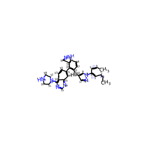 C\C=C/C=C(\C=C/C)n1cc(Bc2ccc3[nH]ncc3c2-c2ccc3c(N4CCNCC4)ncnc3c2)cn1